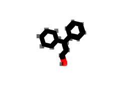 O=CC=C(c1ccccc1)C1CCCCC1